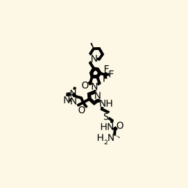 C[C@H]1CCCN(Cc2cc3c(c(C(F)(F)F)c2)CN(c2cc(C4(Cc5nncn5C)COC4)cc(NCCSCNC(=O)[C@H](C)N)n2)C3=O)C1